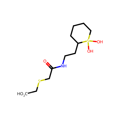 O=C(O)CSCC(=O)NCCC1CCCCS1(O)O